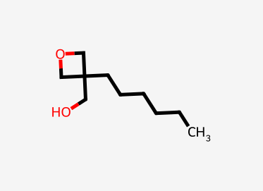 CCCCCCC1(CO)COC1